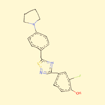 Oc1ccc(-c2nsc(-c3ccc(N4CCCC4)cc3)n2)cc1F